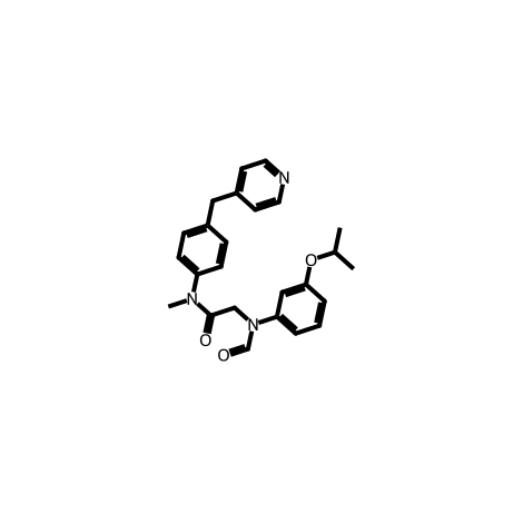 CC(C)Oc1cccc(N(C=O)CC(=O)N(C)c2ccc(Cc3ccncc3)cc2)c1